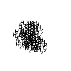 Bc1c(B)c(B)c(-c2c(B)c(-c3c(B)c(B)c4c(B)c(B)c5c(B)c(B)c(B)c6c(B)c(B)c3c4c56)c(B)c3c2oc2c(-c4c(B)c(B)c(B)c(B)c4B)c(B)c(-c4c(B)c(B)c5c(B)c(B)c6c(B)c(B)c(B)c7c(B)c(B)c4c5c67)c(B)c23)c(B)c1B